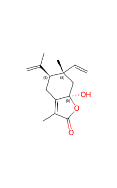 C=C[C@]1(C)C[C@@]2(O)OC(=O)C(C)=C2C[C@H]1C(=C)C